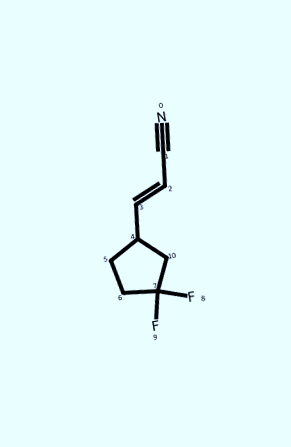 N#CC=CC1CCC(F)(F)C1